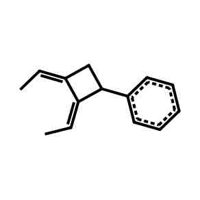 C/C=C1/CC(c2ccccc2)/C1=C/C